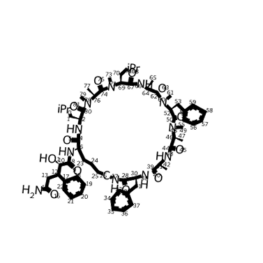 CC(C)C[C@@H]1NC(=O)[C@@H](NC(=O)[C@@H](O)C(CC(N)=O)c2ccccc2)CCCCNC(=O)[C@H](Cc2ccccc2)NC(=O)[C@H](C)NC(=O)[C@H](C)N(C)C(=O)[C@H](Cc2ccccc2)N(C)C(=O)[C@H](C)NC(=O)[C@H](CC(C)C)N(C)C(=O)[C@H](C)N(C)C1=O